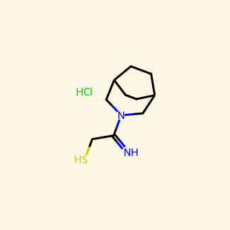 Cl.N=C(CS)N1CC2CCC(CC2)C1